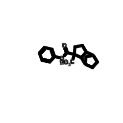 O=C(O)C1(C(=O)Oc2ccccc2)CCC2C3CCC(C3)C21